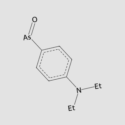 CCN(CC)c1ccc([As]=O)cc1